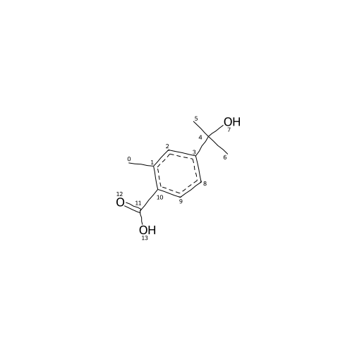 Cc1cc(C(C)(C)O)ccc1C(=O)O